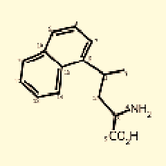 CC(CC(N)C(=O)O)c1cccc2ccccc12